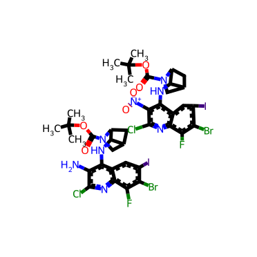 CC(C)(C)OC(=O)N1CC2CC1C2Nc1c(N)c(Cl)nc2c(F)c(Br)c(I)cc12.CC(C)(C)OC(=O)N1CC2CC1C2Nc1c([N+](=O)[O-])c(Cl)nc2c(F)c(Br)c(I)cc12